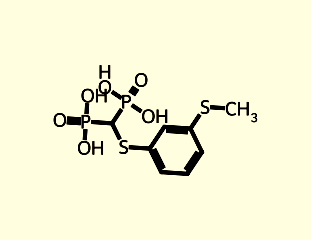 CSc1cccc(SC(P(=O)(O)O)P(=O)(O)O)c1